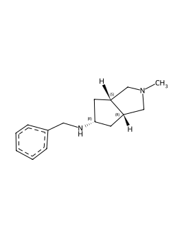 CN1C[C@H]2C[C@@H](NCc3ccccc3)C[C@H]2C1